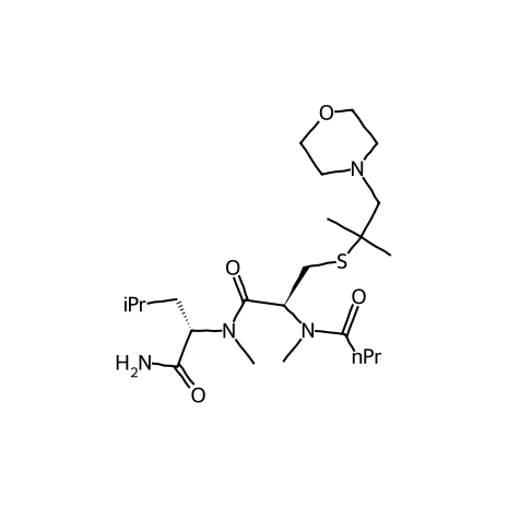 CCCC(=O)N(C)[C@H](CSC(C)(C)CN1CCOCC1)C(=O)N(C)[C@@H](CC(C)C)C(N)=O